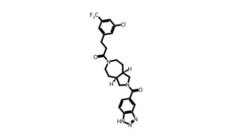 O=C(CCc1cc(Cl)cc(C(F)(F)F)c1)N1CC[C@@H]2CN(C(=O)c3ccc4[nH]nnc4c3)C[C@@H]2CC1